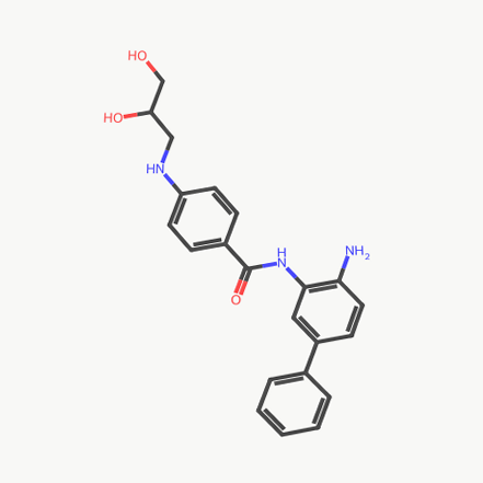 Nc1ccc(-c2ccccc2)cc1NC(=O)c1ccc(NCC(O)CO)cc1